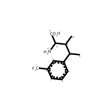 CC(c1cccc(C(F)(F)F)c1)C(C)C(N)C(=O)O